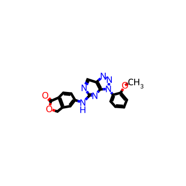 COc1ccccc1-n1nnc2cnc(Nc3ccc4c(c3)COC4=O)nc21